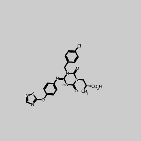 C[C@@H](Cn1c(=O)[nH]/c(=N\c2ccc(Oc3ncns3)cc2)n(Cc2ccc(Cl)cc2)c1=O)C(=O)O